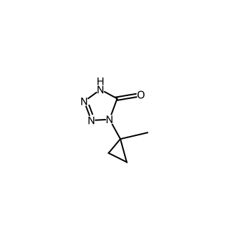 CC1(n2nn[nH]c2=O)CC1